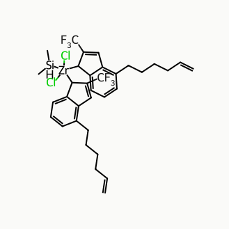 C=CCCCCc1cccc2c1C=C(C(F)(F)F)[CH]2[Zr]([Cl])([Cl])([CH]1C(C(F)(F)F)=Cc2c(CCCCC=C)cccc21)[SiH](C)C